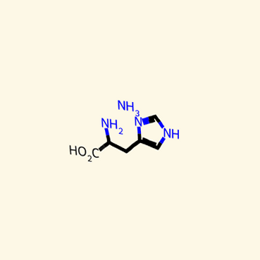 N.NC(Cc1c[nH]cn1)C(=O)O